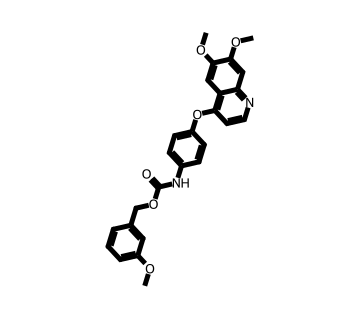 COc1cccc(COC(=O)Nc2ccc(Oc3ccnc4cc(OC)c(OC)cc34)cc2)c1